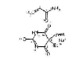 C=CC(N)=O.CCCC(C)C1(CC)C(=O)N=C([O-])NC1=O.[Na+]